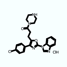 Cl.O=C(CCc1oc(-n2cnc3ccccc32)nc1-c1ccc(Cl)cc1)N1CCNCC1